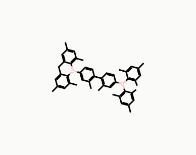 Cc1cc(C)c(B(c2ccc(-c3ccc(B4c5c(C)cc(C)cc5Cc5cc(C)cc(C)c54)cc3C)c(C)c2)c2c(C)cc(C)cc2C)c(C)c1